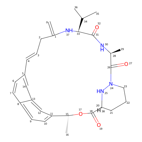 C=C1C/C=C/c2ccc3ccc(cc3c2)[C@@H](C)OC(=O)[C@@H]2CCCN(N2)C(=O)[C@H](C)NC(=O)[C@H](C(C)C)N1